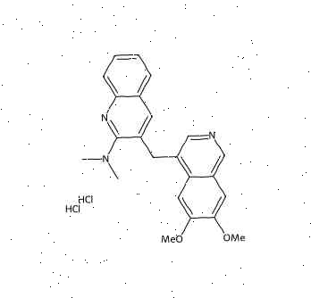 COc1cc2cncc(Cc3cc4ccccc4nc3N(C)C)c2cc1OC.Cl.Cl